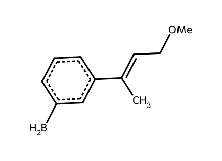 Bc1cccc(/C(C)=C/COC)c1